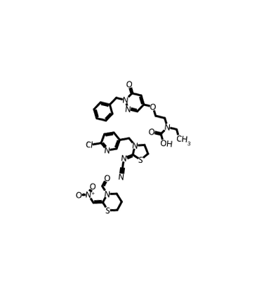 CCN(CCOc1cnn(Cc2ccccc2)c(=O)c1)C(=O)O.N#CN=C1SCCN1Cc1ccc(Cl)nc1.O=CN1CCCSC1=C[N+](=O)[O-]